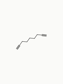 C#CCCCCCC#C